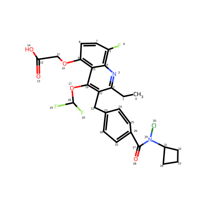 CCc1nc2c(F)ccc(OCC(=O)O)c2c(OC(F)F)c1Cc1ccc(C(=O)N(Cl)C2CCC2)cc1